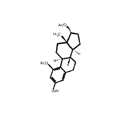 COc1cc2c(c(OC(C)=O)c1)[C@H]1CC[C@]3(C)[C@@H](OC(C)=O)CC[C@H]3[C@@H]1CC2